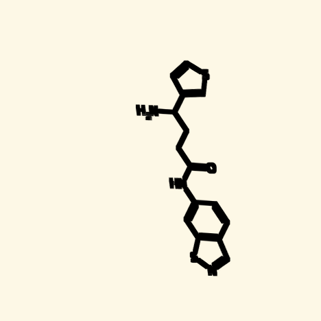 NC(CCC(=O)Nc1ccc2cnsc2c1)c1ccsc1